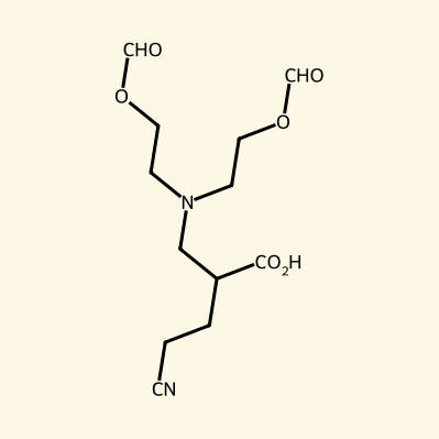 N#CCCC(CN(CCOC=O)CCOC=O)C(=O)O